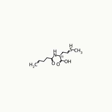 C=CCCC(=O)N[C@@H](CC=[SH]C)C(=O)O